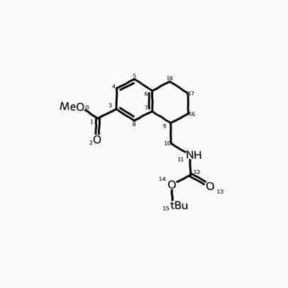 COC(=O)c1ccc2c(c1)C(CNC(=O)OC(C)(C)C)CCC2